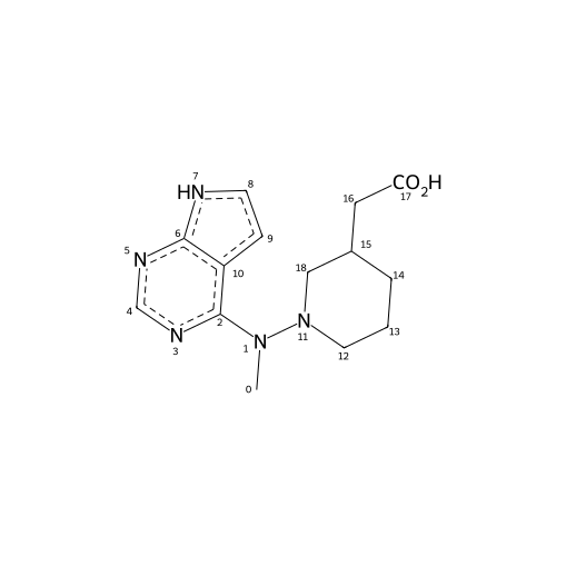 CN(c1ncnc2[nH]ccc12)N1CCCC(CC(=O)O)C1